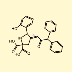 O=C(/C=C1\CC(C(=O)O)(C(=O)O)NC1c1ccccc1O)C(c1ccccc1)c1ccccc1